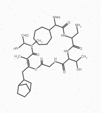 CCCC(C=O)N(C)C(=O)/C(C)=C(/CC1CC2CCC1C2)OC(=O)CNC(=O)C(NC(=O)C(CN)NC(=O)C(NC)C1CCCCCC1)C(C)O